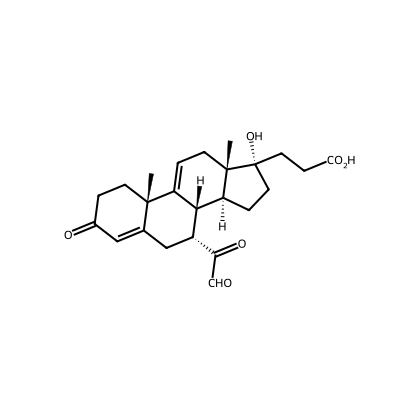 C[C@]12CCC(=O)C=C1C[C@@H](C(=O)C=O)[C@@H]1C2=CC[C@@]2(C)[C@H]1CC[C@]2(O)CCC(=O)O